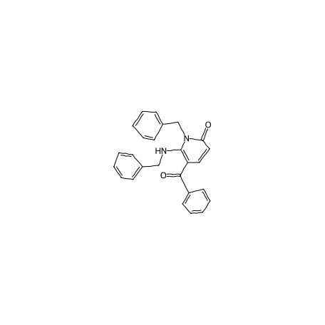 O=C(c1ccccc1)c1ccc(=O)n(Cc2ccccc2)c1NCc1ccccc1